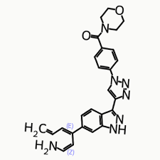 C=C/C=C(\C=C/N)c1ccc2c(-c3cn(-c4ccc(C(=O)N5CCOCC5)cc4)nn3)n[nH]c2c1